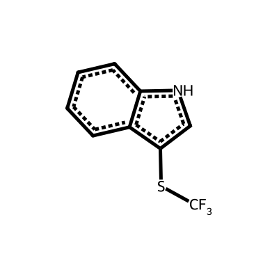 FC(F)(F)Sc1c[nH]c2ccccc12